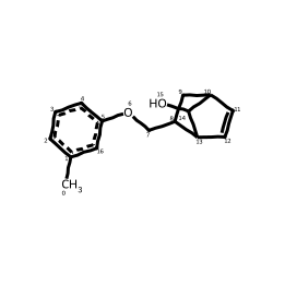 Cc1cccc(OCC2CC3C=CC2C3O)c1